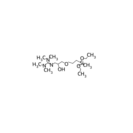 CCO[Si](C)(CCCOCC(O)CN=C(N(C)C)N(C)C)OCC